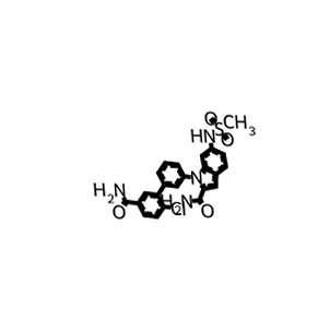 CS(=O)(=O)Nc1ccc2cc(C(N)=O)n(-c3cccc(-c4cc(C(N)=O)ccc4Cl)c3)c2c1